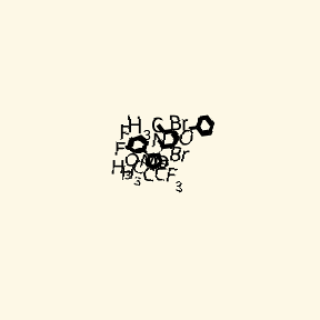 COc1c([C@H]2[C@H](c3nc(C)c(Br)c(OCc4ccccc4)c3Br)O[C@@](C)(C(F)(F)F)[C@H]2C)ccc(F)c1F